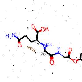 CC(C)OC(=O)CNC(=O)[C@H](CS)N[C@@H](CCC(N)=O)C(=O)O